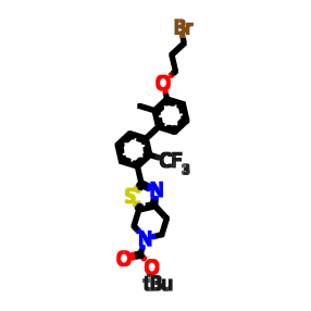 Cc1c(OCCCBr)cccc1-c1cccc(-c2nc3c(s2)CN(C(=O)OC(C)(C)C)CC3)c1C(F)(F)F